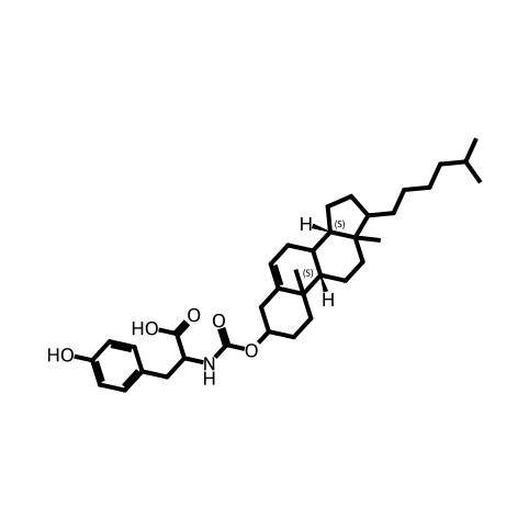 CC(C)CCCCC1CC[C@H]2C3CC=C4CC(OC(=O)NC(Cc5ccc(O)cc5)C(=O)O)CCC4(C)[C@H]3CCC12C